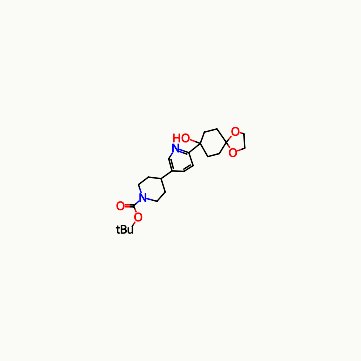 CC(C)(C)OC(=O)N1CCC(c2ccc(C3(O)CCC4(CC3)OCCO4)nc2)CC1